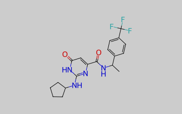 CC(NC(=O)c1cc(=O)[nH]c(NC2CCCC2)n1)c1ccc(C(F)(F)F)cc1